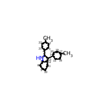 Cc1ccc(-c2[nH]c3ccccc3c2-c2ccc(C)cc2)cc1